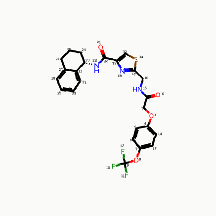 O=C(COc1ccc(OC(F)(F)F)cc1)NCc1nc(C(=O)N[C@H]2CCCc3ccccc32)cs1